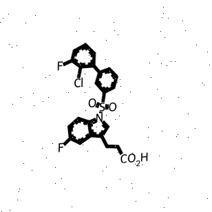 O=C(O)CCc1cn(S(=O)(=O)c2cccc(-c3cccc(F)c3Cl)c2)c2ccc(F)cc12